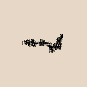 Cn1nc(C2CCC(=O)NC2=O)c2cccc(C#CCO[C@H]3CCN(C[C@H]4CC[C@H](n5cc(NC(=O)c6cnn7ccc(N8CCOC(CC#N)C8)nc67)c(C(F)F)n5)CC4)C[C@H]3F)c21